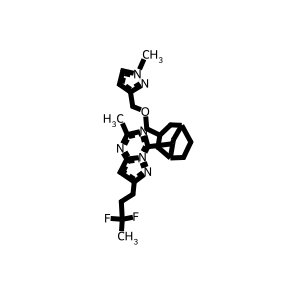 Cc1nc(C2CC3CCC2CC(COCc2ccn(C)n2)C3)n2nc(CCC(C)(F)F)cc2n1